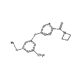 CC(C)Oc1cc(Oc2ccc(C(=O)N3CCC3)nc2)cc(C(=O)O)c1